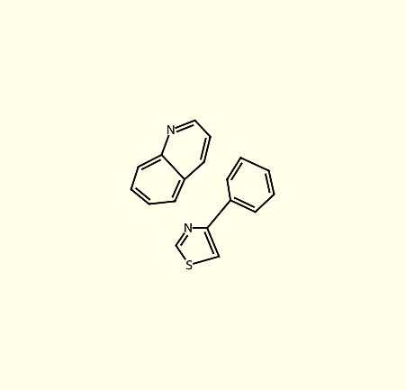 c1ccc(-c2cscn2)cc1.c1ccc2ncccc2c1